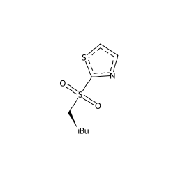 CC[C@H](C)CS(=O)(=O)c1nccs1